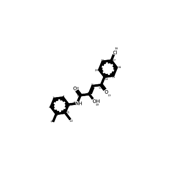 Cc1cccc(NC(=O)/C(O)=C/C(=O)c2ccc(Cl)cc2)c1C